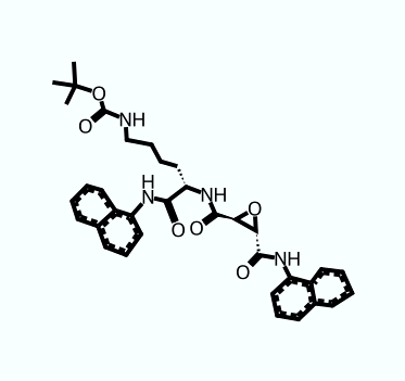 CC(C)(C)OC(=O)NCCCC[C@H](NC(=O)[C@H]1O[C@@H]1C(=O)Nc1cccc2ccccc12)C(=O)Nc1cccc2ccccc12